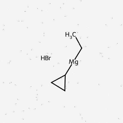 Br.C[CH2][Mg][CH]1CC1